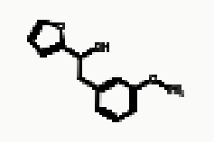 OC(Cc1cccc(OP)c1)c1ccco1